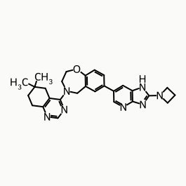 CC1(C)CCc2ncnc(N3CCOc4ccc(-c5cnc6nc(N7CCC7)[nH]c6c5)cc4C3)c2C1